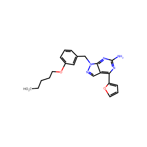 Nc1nc(-c2ccco2)c2cnn(Cc3cccc(OCCCCC(=O)O)c3)c2n1